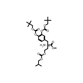 COC(=O)[C@@](N)(CCOC(=O)OCC(C)C)Cc1ccc(OC(=O)OCC(C)(C)C)c(OC(=O)OCC(C)(C)C)c1